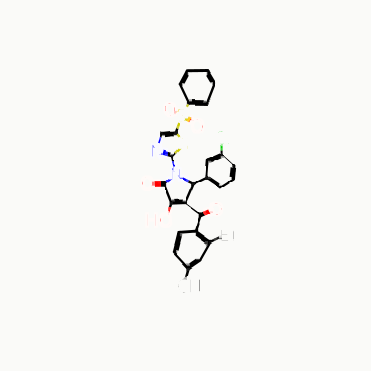 CCc1cc(C)ccc1C(=O)C1=C(O)C(=O)N(c2ncc(S(=O)(=O)c3ccccc3)s2)C1c1cccc(Cl)c1